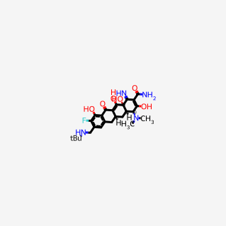 CN(C)[C@@H]1C(O)=C(C(N)=O)C(=N)[C@@]2(O)C(O)=C3C(=O)c4c(cc(CNC(C)(C)C)c(F)c4O)C[C@H]3C[C@@H]12